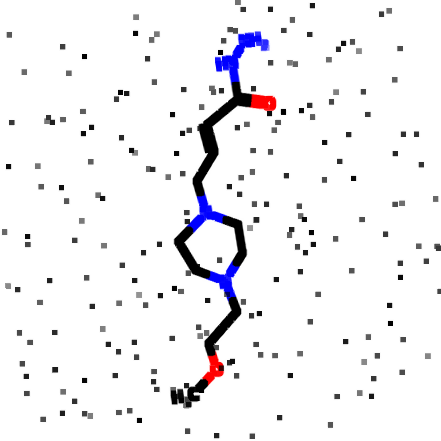 COCCN1CCN(C/C=C/C(=O)NN)CC1